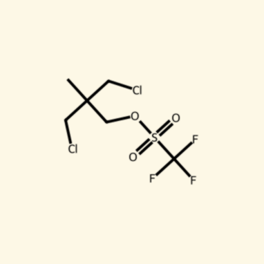 CC(CCl)(CCl)COS(=O)(=O)C(F)(F)F